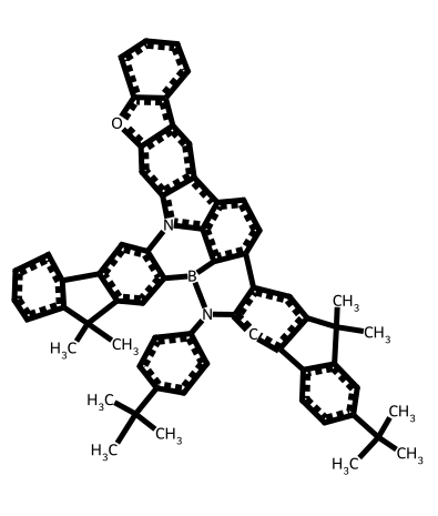 CC(C)(C)c1ccc(N2B3c4cc5c(cc4-n4c6cc7oc8ccccc8c7cc6c6ccc(c3c64)-c3cc4c(cc32)-c2ccc(C(C)(C)C)cc2C4(C)C)-c2ccccc2C5(C)C)cc1